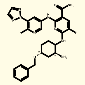 Cc1ncc(Nc2nc(NC3CC[C@@H](OCc4ccccc4)C[C@@H]3N)c(F)cc2C(N)=O)cc1-n1nccn1